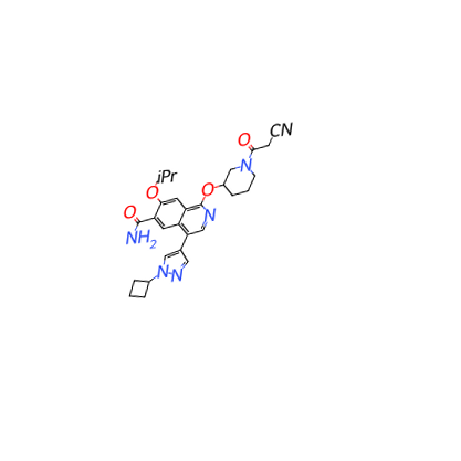 CC(C)Oc1cc2c(OC3CCCN(C(=O)CC#N)C3)ncc(-c3cnn(C4CCC4)c3)c2cc1C(N)=O